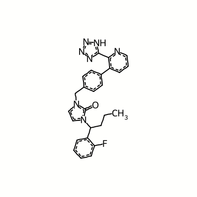 CCCC(c1ccccc1F)n1ccn(Cc2ccc(-c3cccnc3-c3nnn[nH]3)cc2)c1=O